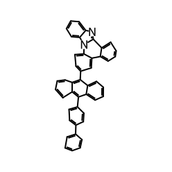 c1ccc(-c2ccc(-c3c4ccccc4c(-c4ccc5c(c4)c4ccccc4c4nc6ccccc6n54)c4ccccc34)cc2)cc1